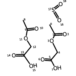 CC(=O)OCC(=O)O.CC(=O)OCC(=O)O.O=S=O